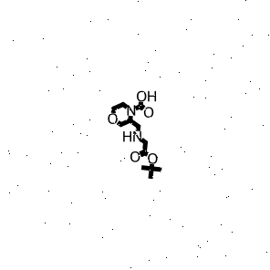 CC(C)(C)OC(=O)CNCC1COCCN1C(=O)O